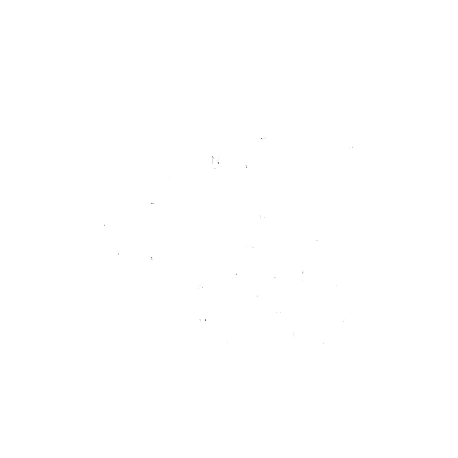 C(=Cc1ccccc1)NC=Cc1ccccc1.c1ccc(C2(c3ccccc3)CCCCC2)cc1